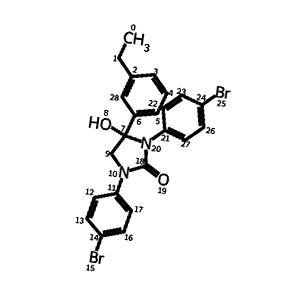 CCc1cccc(C2(O)CN(c3ccc(Br)cc3)C(=O)N2c2ccc(Br)cc2)c1